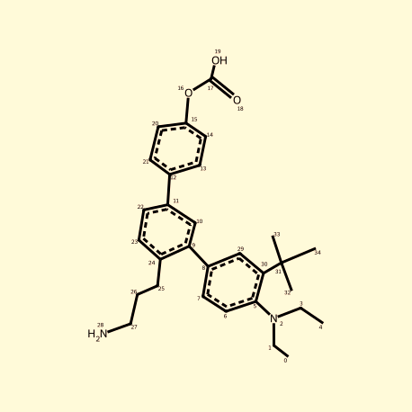 CCN(CC)c1ccc(-c2cc(-c3ccc(OC(=O)O)cc3)ccc2CCCN)cc1C(C)(C)C